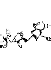 CC(C)(C)c1cc(C=C2SCCN(CP(=O)(O)O)C2=O)cc(C(C)(C)C)c1O